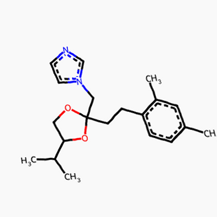 Cc1ccc(CCC2(Cn3ccnc3)OCC(C(C)C)O2)c(C)c1